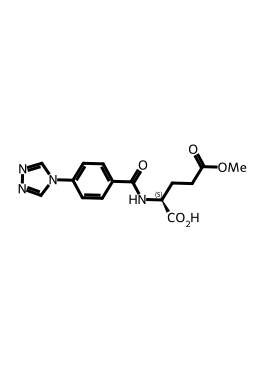 COC(=O)CC[C@H](NC(=O)c1ccc(-n2cnnc2)cc1)C(=O)O